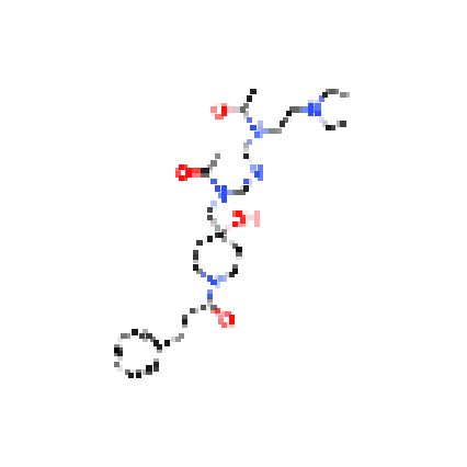 CC(=O)N(CCN1CCCC1)c1cc(=O)n(CC2(O)CCN(C(=O)CCc3ccccc3)CC2)cn1